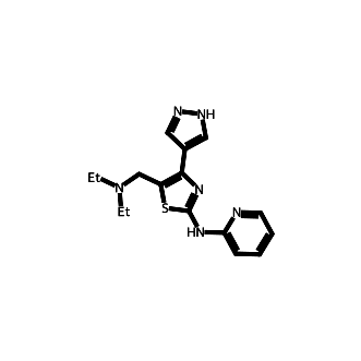 CCN(CC)Cc1sc(Nc2ccccn2)nc1-c1cn[nH]c1